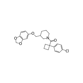 O=C(N1CCCC(COc2ccc3c(c2)OCO3)C1)C1(c2ccc(Cl)cc2)CCC1